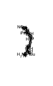 CC(C)Nc1cc(-n2ccc3cc(C#N)cnc32)ncc1C(=O)NC1CCC(C(=O)NCCOCCN2C[C@H](NC(=O)[C@H](CCCn3ccnc3N)NC(=O)OC(C)(C)C)C(C)(C)C2)CC1